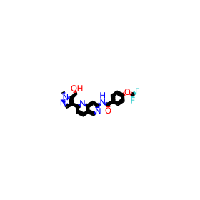 Cn1ncc(-c2ccc3cnc(NC(=O)c4ccc(OC(F)F)cc4)cc3n2)c1CO